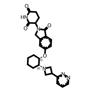 O=C1CCC(N2Cc3cc(O[C@H]4CCCC[C@H]4N4CC(c5cccnn5)C4)ccc3C2=O)C(=O)N1